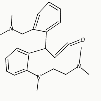 CN(C)CCN(C)c1ccccc1C(C=C=O)c1ccccc1CN(C)C